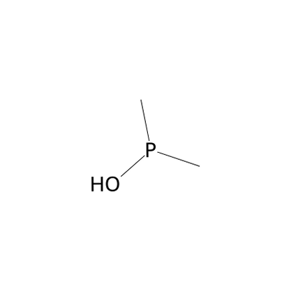 CP(C)O